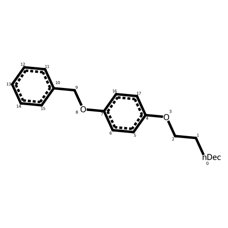 CCCCCCCCCCCCOc1ccc(OCc2ccccc2)cc1